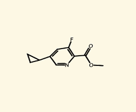 COC(=O)c1ncc(C2CC2)cc1F